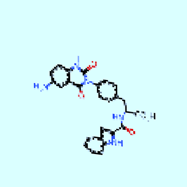 Nc1ccc2[nH]c(=O)n(-c3ccc(CC(NC(=O)c4cc5ccccc5[nH]4)C(=O)O)cc3)c(=O)c2c1